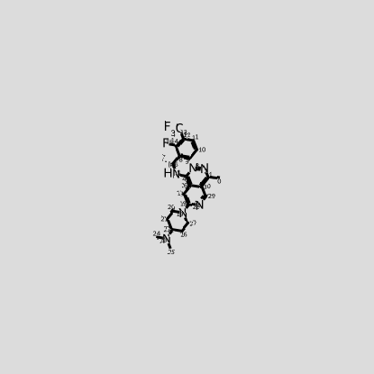 Cc1nnc(N[C@H](C)c2cccc(C(F)(F)F)c2F)c2cc(N3CCC(N(C)C)CC3)ncc12